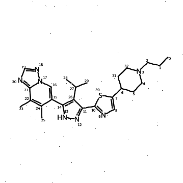 CCCN1CCC(c2cnc(-c3n[nH]c(-c4cn5ncnc5c(C)c4C)c3C(C)C)s2)CC1